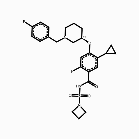 O=C(NS(=O)(=O)N1CCC1)c1cc(C2CC2)c(O[C@@H]2CCCN(Cc3ccc(F)cc3)C2)cc1F